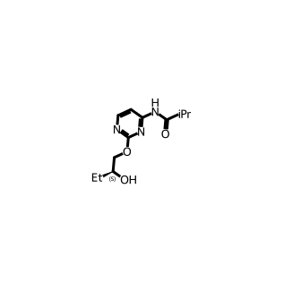 CC[C@H](O)COc1nccc(NC(=O)C(C)C)n1